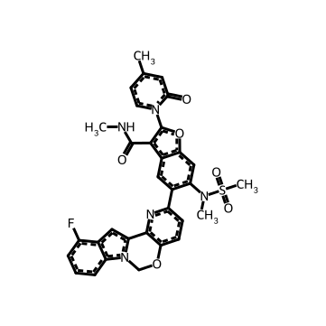 CNC(=O)c1c(-n2ccc(C)cc2=O)oc2cc(N(C)S(C)(=O)=O)c(-c3ccc4c(n3)-c3cc5c(F)cccc5n3CO4)cc12